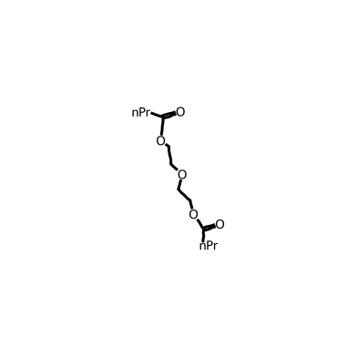 CCCC(=O)OCCOCCOC(=O)CCC